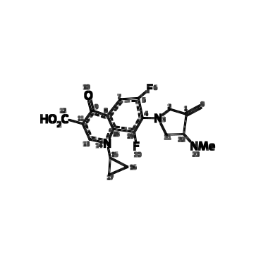 C=C1CN(c2c(F)cc3c(=O)c(C(=O)O)cn(C4CC4)c3c2F)CC1NC